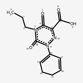 CCCn1c(=O)c(C(=O)O)nn(C2=CC[CH]C=C2)c1=O